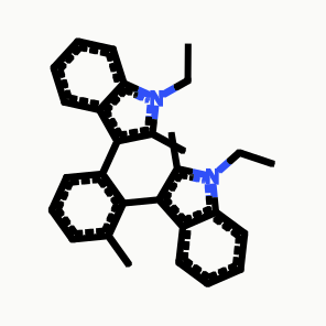 CCn1c(C)c(-c2cccc(C)c2-c2c(C)n(CC)c3ccccc23)c2ccccc21